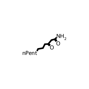 CCCCCCCCC(=O)CC(N)=O